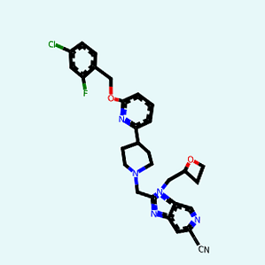 N#Cc1cc2nc(CN3CCC(c4cccc(OCc5ccc(Cl)cc5F)n4)CC3)n(CC3CCO3)c2cn1